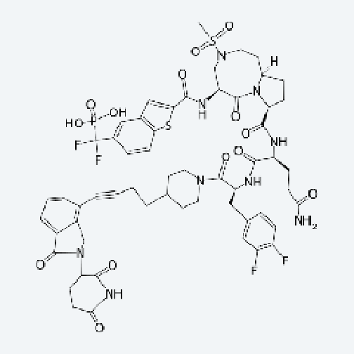 CS(=O)(=O)N1CC[C@H]2CC[C@@H](C(=O)N[C@@H](CCC(N)=O)C(=O)N[C@@H](Cc3ccc(F)c(F)c3)C(=O)N3CCC(CCC#Cc4cccc5c4CN(C4CCC(=O)NC4=O)C5=O)CC3)N2C(=O)[C@@H](NC(=O)c2cc3cc(C(F)(F)P(=O)(O)O)ccc3s2)C1